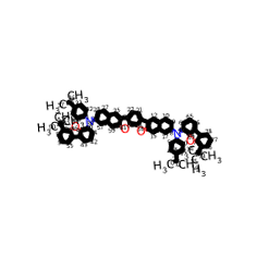 CC(C)c1ccc(N(c2ccc3cc4c(cc3c2)oc2c4ccc3c4cc5ccc(N(c6ccc(C(C)C)cc6)c6cccc7c6oc6c(C(C)(C)C)cccc67)cc5cc4oc32)c2cccc3c2oc2c(C(C)(C)C)cccc23)cc1